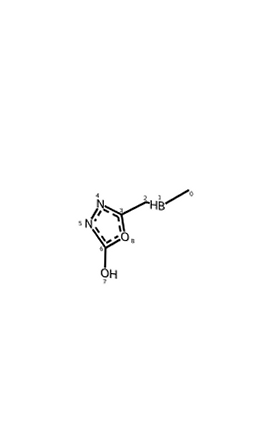 CBCc1nnc(O)o1